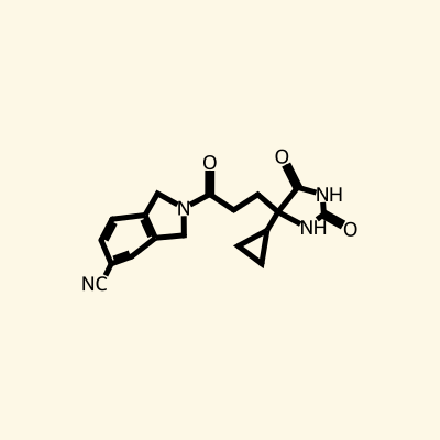 N#Cc1ccc2c(c1)CN(C(=O)CCC1(C3CC3)NC(=O)NC1=O)C2